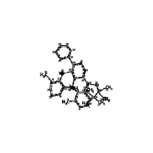 Cc1cccc(C)c1Bc1c(B2OC(C)(C)C(C)(C)O2)ccc(-c2ccccc2)c1Bc1c(C)cccc1C